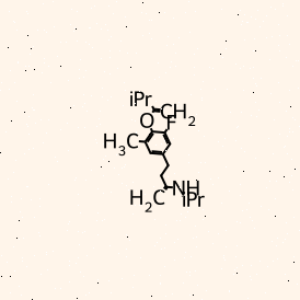 C=C(CCc1cc(C)c(OC(=C)C(C)C)c(F)c1)NC(C)C